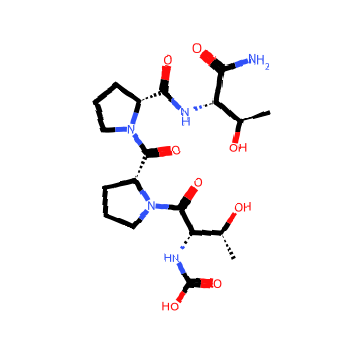 C[C@@H](O)[C@H](NC(=O)[C@H]1CCCN1C(=O)[C@H]1CCCN1C(=O)[C@@H](NC(=O)O)[C@@H](C)O)C(N)=O